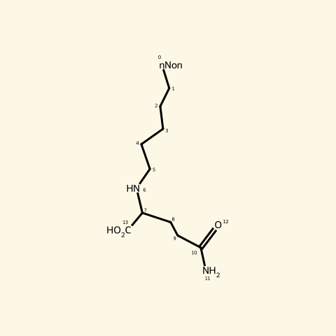 CCCCCCCCCCCCCCNC(CCC(N)=O)C(=O)O